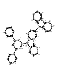 c1ccc(-c2nc(-c3ccccc3)nc(-n3c4ccccc4c4cc(-n5c6ccccc6c6ccccc65)ccc43)n2)cc1